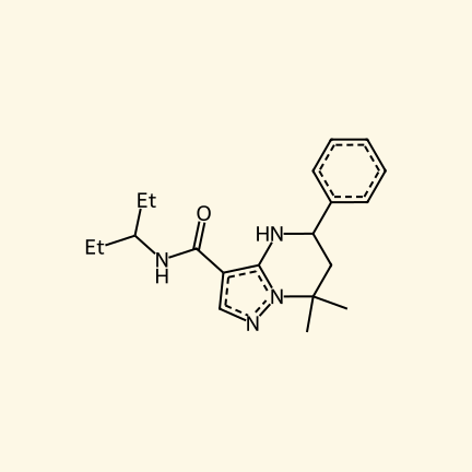 CCC(CC)NC(=O)c1cnn2c1NC(c1ccccc1)CC2(C)C